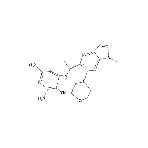 CC(Nc1nc(N)nc(N)c1C#N)c1nc2ccn(C)c2cc1N1CCOCC1